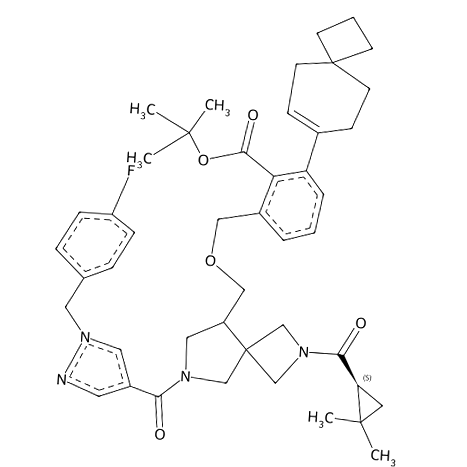 CC(C)(C)OC(=O)c1c(COCC2CN(C(=O)c3cnn(Cc4ccc(F)cc4)c3)CC23CN(C(=O)[C@H]2CC2(C)C)C3)cccc1C1=CCC2(CCC2)CC1